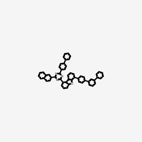 c1ccc(-c2ccc(-c3nc(-c4ccc5ccccc5c4)nc(-c4cccc5oc6c(-c7ccc(-c8cccc(-c9ccccc9)c8)cc7)cccc6c45)n3)cc2)cc1